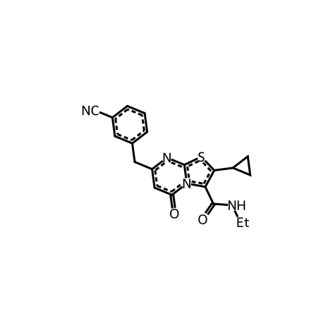 CCNC(=O)c1c(C2CC2)sc2nc(Cc3cccc(C#N)c3)cc(=O)n12